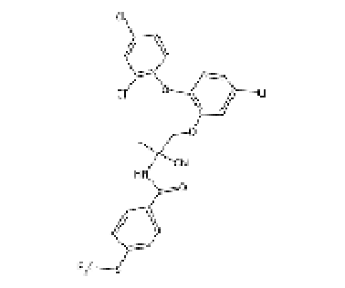 CC(C#N)(COc1cc(Cl)ccc1Oc1ccc(Cl)cc1Cl)NC(=O)c1ccc(SC(F)(F)F)cc1